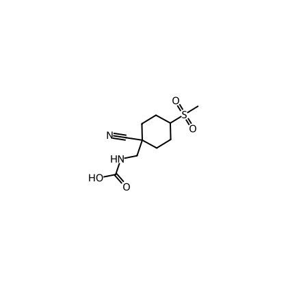 CS(=O)(=O)C1CCC(C#N)(CNC(=O)O)CC1